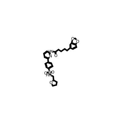 O=C(CCCCc1ccc2c(c1)OCO2)Nc1cccc(-c2ccc(S(=O)(=O)NCC3CCCO3)cc2)n1